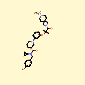 CC(C)(Oc1cccc(N2CCC[C@@H](C(=O)N(Cc3ccc(Br)cc3)C3CC3)C2)c1)C(=O)N1CC2(CCN(C(=O)O)CC2)C1